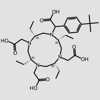 CC[C@@H]1CN(CC(=O)O)[C@H](CC)CN(C(C(=O)O)c2ccc(C(C)(C)C)cc2)[C@H](CC)CN(CC(=O)O)[C@H](CC)CN1CC(=O)O